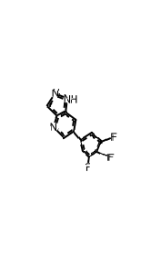 Fc1cc(-c2cnc3cn[nH]c3c2)cc(F)c1F